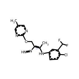 C/C(Nc1ccc(Cl)c(C(F)F)c1)=C(\COc1ncc(C)cn1)N=N